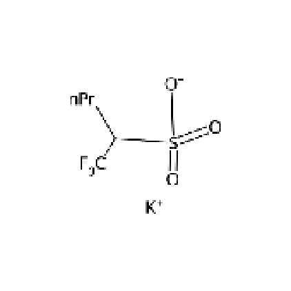 CCCC(C(F)(F)F)S(=O)(=O)[O-].[K+]